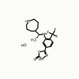 C[C@H](Nc1cc(-c2n[nH]c(=O)o2)ccc1C(F)(F)F)C1CCCNCCC1.Cl